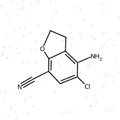 N#Cc1cc(Cl)c(N)c2c1OCC2